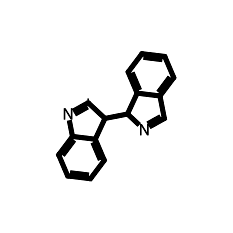 [C]1=Nc2ccccc2C1C1N=Cc2ccccc21